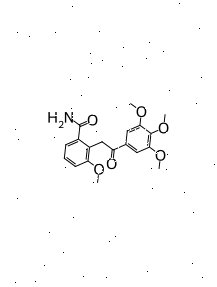 COc1cccc(C(N)=O)c1CC(=O)c1cc(OC)c(OC)c(OC)c1